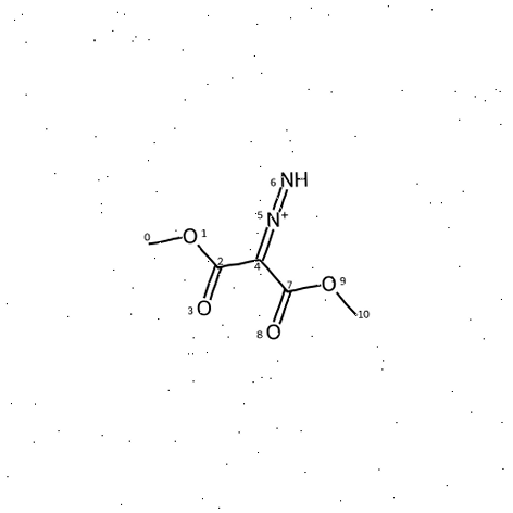 COC(=O)C(=[N+]=N)C(=O)OC